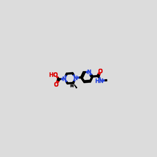 CNC(=O)c1ccc(N2CCN(C(=O)O)C[C@H]2C)cn1